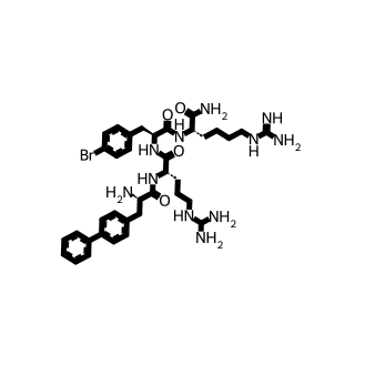 N=C(N)NCCCC[C@H](NC(=O)[C@H](Cc1ccc(Br)cc1)NC(=O)[C@H](CCCNC(N)N)NC(=O)[C@@H](N)Cc1ccc(-c2ccccc2)cc1)C(N)=O